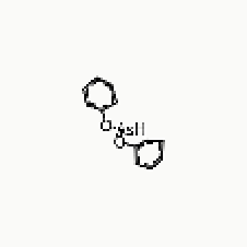 c1ccc(O[AsH]Oc2ccccc2)cc1